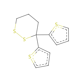 c1csc(C2(c3cccs3)CCCSS2)c1